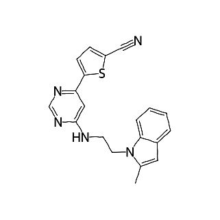 Cc1cc2ccccc2n1CCNc1cc(-c2ccc(C#N)s2)ncn1